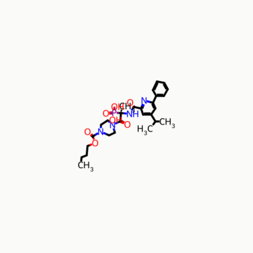 CCCCOC(=O)N1CCN(C(=O)[C@@](C)(NC(=O)c2cc(C(C)C)cc(-c3ccccc3)n2)P(=O)(O)O)CC1